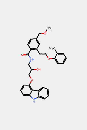 COc1ccccc1OCCc1cc(CO[N+](=O)[O-])ccc1C(=O)NCC(O)COc1cccc2[nH]c3ccccc3c12